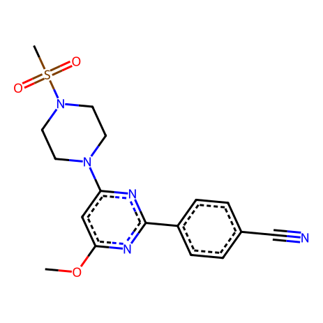 COc1cc(N2CCN(S(C)(=O)=O)CC2)nc(-c2ccc(C#N)cc2)n1